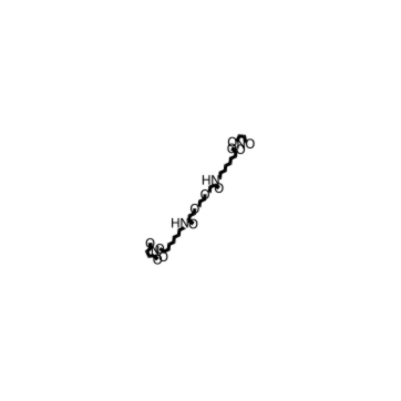 O=C(CCOCCCOCCC(=O)NCCCCCCCC(=O)ON1C(=O)CCC1=O)NCCCCCCCC(=O)ON1C(=O)CCC1=O